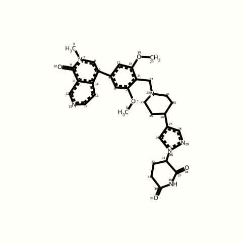 COc1cc(-c2cn(C)c(=O)c3cnccc23)cc(OC)c1CN1CCC(c2cnn(C3CCC(=O)NC3=O)c2)CC1